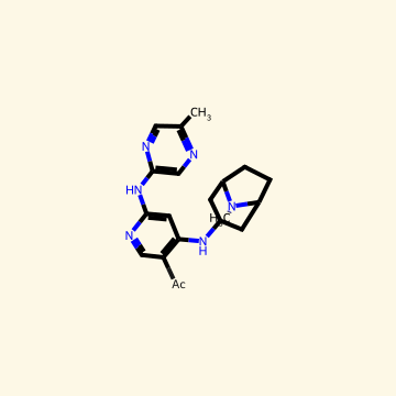 CC(=O)c1cnc(Nc2cnc(C)cn2)cc1NC1CC2CCC(C1)N2C